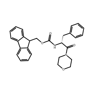 O=C(N[C@H](Cc1ccccc1)C(=O)N1CCOCC1)OCC1c2ccccc2-c2ccccc21